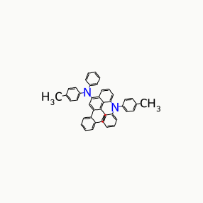 Cc1ccc(N(c2ccccc2)c2cc3c4ccccc4ccc3c3c(N(c4ccccc4)c4ccc(C)cc4)cccc23)cc1